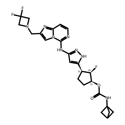 O=C(NC12CC(C1)C2)O[C@H]1CC[C@@H](c2cc(Nc3nccc4nc(CN5CC(F)(F)C5)cn34)n[nH]2)[C@H]1F